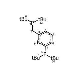 CC(C)(C)P(Cc1cccc(P(C(C)(C)C)C(C)(C)C)n1)C(C)(C)C